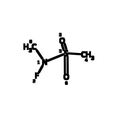 CN(F)S(C)(=O)=O